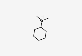 [CH3][SnH]([CH3])[CH]1CCCCC1